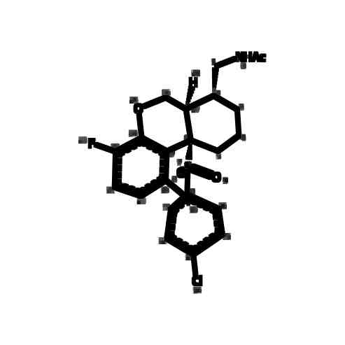 CC(=O)NC[C@@H]1CCC[C@@]2(S(=O)(=O)c3ccc(Cl)cc3)c3c(F)ccc(F)c3OC[C@@H]12